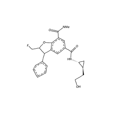 CNC(=O)c1cc(C(=O)N[C@@H]2C[C@H]2CCO)cc2c1OC(CF)C2c1ccccc1